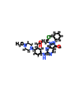 CN1CCN(c2ccc(Nc3ncc4c(=O)n(-c5ccccc5Cl)n(C)c4n3)cc2CO)CC1